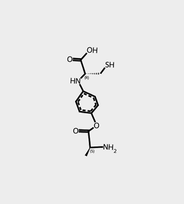 C[C@H](N)C(=O)Oc1ccc(N[C@@H](CS)C(=O)O)cc1